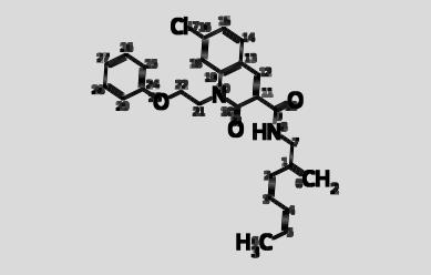 C=C(/C=C\C=C/C)CNC(=O)c1cc2ccc(Cl)cc2n(CCOc2ccccc2)c1=O